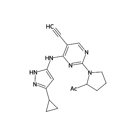 C#Cc1cnc(N2CCCC2C(C)=O)nc1Nc1cc(C2CC2)n[nH]1